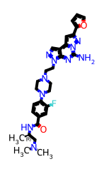 C[C@H](CN(C)C)NC(=O)c1ccc(N2CCN(CCn3ncc4c3nc(N)n3nc(-c5ccco5)cc43)CC2)c(F)c1